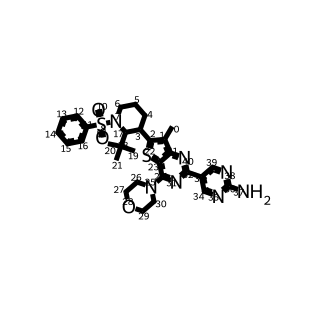 Cc1c(C2CCCN(S(=O)(=O)c3ccccc3)C2C(C)(C)C)sc2c(N3CCOCC3)nc(-c3cnc(N)nc3)nc12